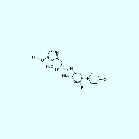 COc1ccnc(C[S+]([O-])c2nc3cc(N4CCC(=O)CC4)c(F)cc3[nH]2)c1C